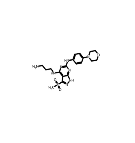 CS(=O)(=O)c1n[nH]c2nc(Nc3ccc(N4CCOCC4)cc3)nc(NCCCN)c12